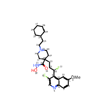 COc1ccc2ncc(F)c([C@H](F)CCC3(C(=O)NO)CCN(CCC4CCCCC4)CC3)c2c1